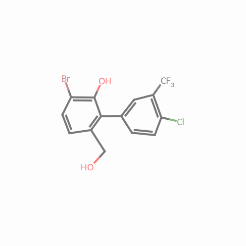 OCc1ccc(Br)c(O)c1-c1ccc(Cl)c(C(F)(F)F)c1